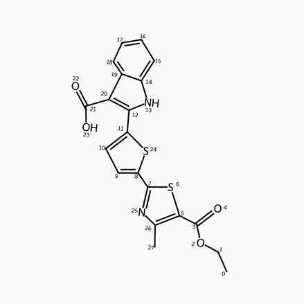 CCOC(=O)c1sc(-c2ccc(-c3[nH]c4ccccc4c3C(=O)O)s2)nc1C